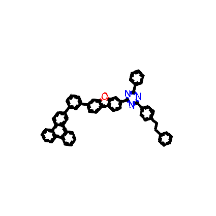 c1ccc(CCc2ccc(-c3nc(-c4ccccc4)nc(-c4ccc5c(c4)oc4cc(-c6cccc(-c7ccc8c9ccccc9c9ccccc9c8c7)c6)ccc45)n3)cc2)cc1